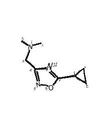 CN(C)Cc1noc(C2CC2)n1